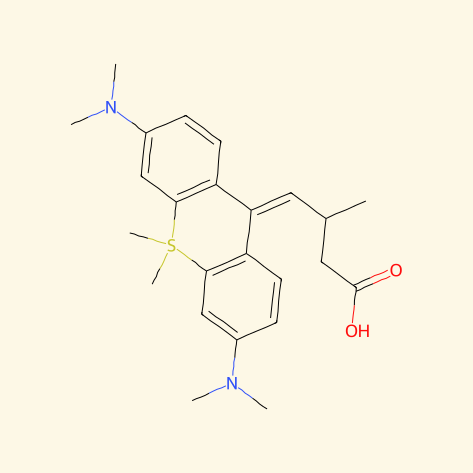 CC(C=C1c2ccc(N(C)C)cc2S(C)(C)c2cc(N(C)C)ccc21)CC(=O)O